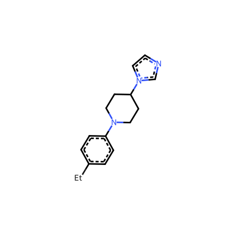 CCc1ccc(N2CCC(n3ccnc3)CC2)cc1